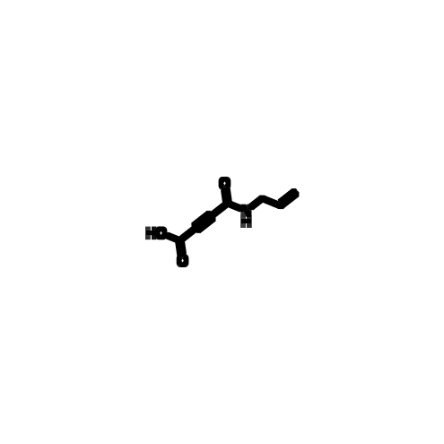 C=CCNC(=O)C#CC(=O)O